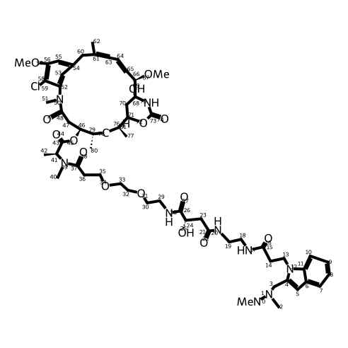 CNN(C)Cc1cc2ccccc2n1CCC(=O)NCCNC(=O)C[C@H](O)C(=O)NCCOCCOCCC(=O)N(C)[C@@H](C)C(=O)O[C@H]1CC(=O)N(C)c2cc(cc(OC)c2Cl)C/C(C)=C/C=C/[C@@H](OC)[C@@]2(O)C[C@H](OC(=O)N2)[C@@H](C)C[C@@H]1C